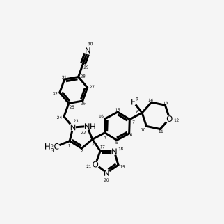 CC1=CC(c2ccc(C3(F)CCOCC3)cc2)(c2ncno2)NN1Cc1ccc(C#N)cc1